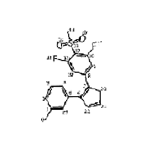 Cc1cccc(C2=C(c3cc(F)c(S(C)(=O)=O)c(F)c3)CC=C2)c1